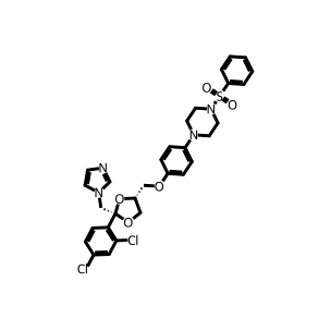 O=S(=O)(c1ccccc1)N1CCN(c2ccc(OC[C@@H]3CO[C@@](Cn4ccnc4)(c4ccc(Cl)cc4Cl)O3)cc2)CC1